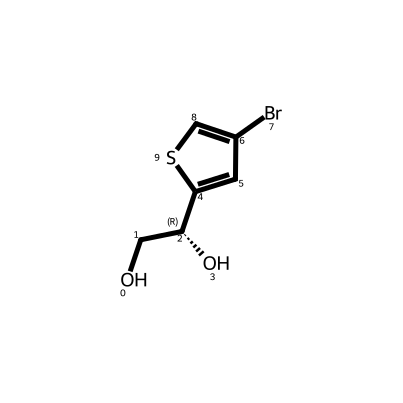 OC[C@@H](O)c1cc(Br)cs1